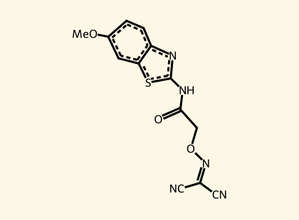 COc1ccc2nc(NC(=O)CON=C(C#N)C#N)sc2c1